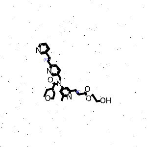 Cc1cc(N(Cc2ccc(/C=C/c3cccnc3)nc2)C(=O)C2CCOCC2)cc(/C=C/C(=O)OCCO)n1